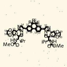 COC(=O)N[C@H](C(=O)N1CC2(C[C@H]1c1ncc(-c3ccc4c(c3)C(F)(F)C(F)(F)c3cc(-c5cnc([C@@H]6CC7(CN6C(=O)[C@@H](NC(=O)OC)C(C)C)OCCO7)[nH]5)ccc3-4)[nH]1)OCCO2)C(C)C